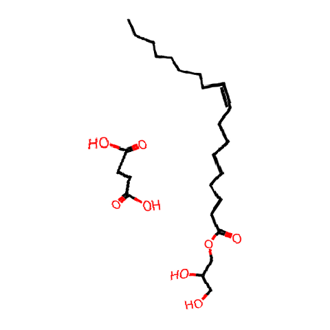 CCCCCCCC/C=C\CCCCCCCC(=O)OCC(O)CO.O=C(O)CCC(=O)O